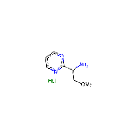 COCC(N)c1ncccn1.Cl